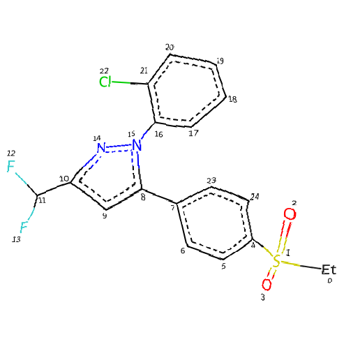 CCS(=O)(=O)c1ccc(-c2cc(C(F)F)nn2-c2ccccc2Cl)cc1